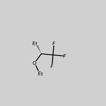 CCO[C@H](CC)C(F)(F)F